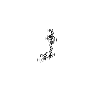 CCN1Cc2c(Cl)cc(Cl)cc2C(c2cccc(S(=O)(=O)NCCOCCOCCOCCNC(=O)C(O)C(O)C(=O)NCCOCCO)c2)C1